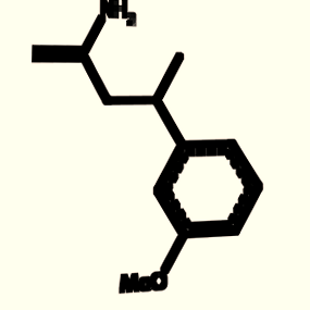 C=C(N)CC(C)c1cccc(OC)c1